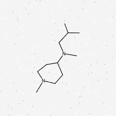 CC(C)CN(C)C1CCN(C)CC1